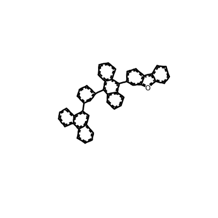 c1cc(-c2c3ccccc3c(-c3ccc4c(c3)oc3ccccc34)c3ccccc23)cc(-c2cc3ccccc3c3ccccc23)c1